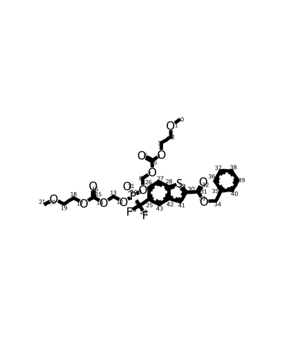 COCCOC(=O)OCOP(=O)(OCOC(=O)OCCOC)C(F)(F)c1ccc2sc(C(=O)OCc3ccccc3)cc2c1